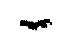 COCC(=O)Nc1nc(-c2cccc(C#N)c2)cc(-c2cn(Cc3cccc(C(CC[N+]#Cc4cccc(-c5cc(-c6cn(Cc7cccc(N8CC[C@H](C(=O)O)C8)n7)nn6)nc(N)n5)c4)OC)n3)nn2)n1